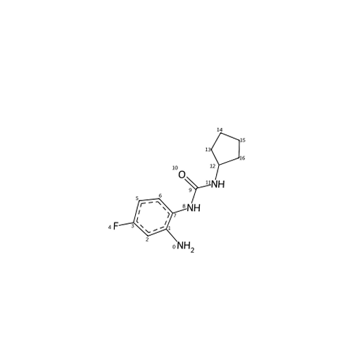 Nc1cc(F)ccc1NC(=O)NC1CCCC1